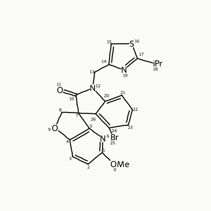 COc1ccc2c(n1)C1(CO2)C(=O)N(Cc2csc(C(C)C)n2)c2cccc(Br)c21